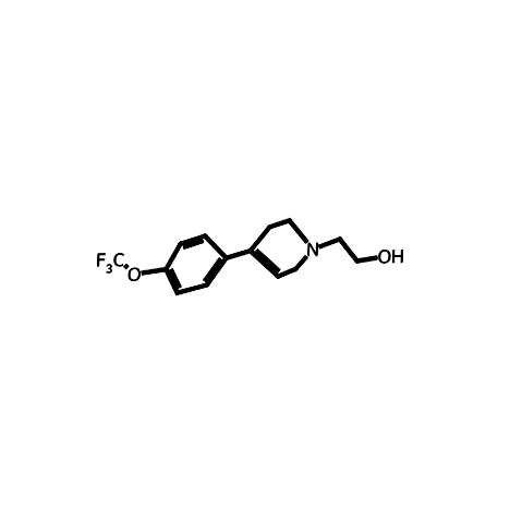 OCCN1CC=C(c2ccc(OC(F)(F)F)cc2)CC1